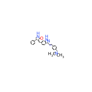 CN(C)Cc1ccc(/C=C/c2n[nH]c3cc(C=C4C(=O)NCC4c4ccccc4)ccc23)cc1